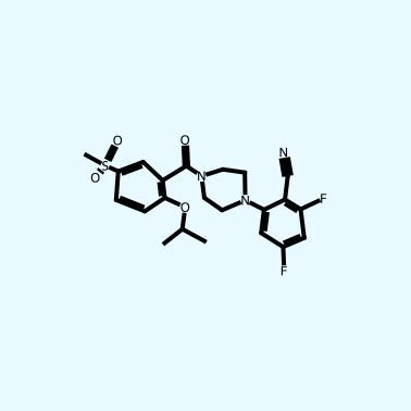 CC(C)Oc1ccc(S(C)(=O)=O)cc1C(=O)N1CCN(c2cc(F)cc(F)c2C#N)CC1